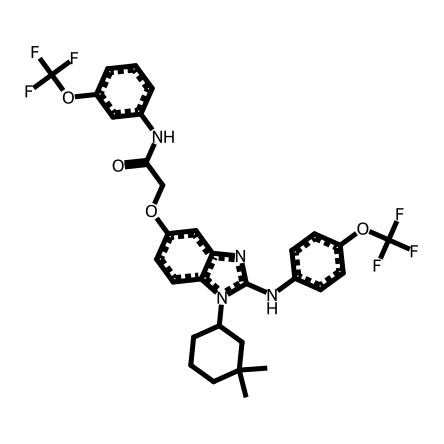 CC1(C)CCCC(n2c(Nc3ccc(OC(F)(F)F)cc3)nc3cc(OCC(=O)Nc4cccc(OC(F)(F)F)c4)ccc32)C1